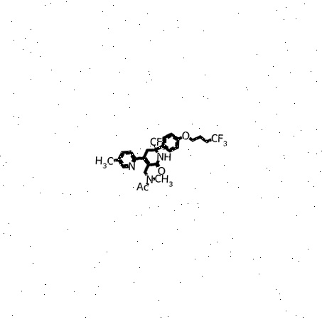 CC(=O)N(C)CC1=C(c2ccc(C)cn2)C[C@](c2ccc(OCCCC(F)(F)F)cc2)(C(F)(F)F)NC1=O